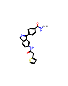 CCCCNC(=O)c1ccc(C2=NCc3ccc(NC(=O)Cc4cccs4)cc32)cc1